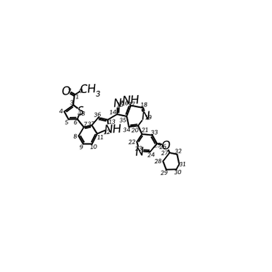 CC(=O)c1ccc(-c2cccc3[nH]c(-c4n[nH]c5cnc(-c6cncc(OC7CCCCC7)c6)cc45)cc23)s1